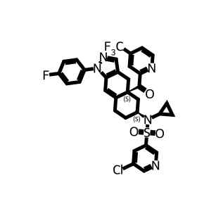 O=C(c1cc(C(F)(F)F)ccn1)[C@]12Cc3cnn(-c4ccc(F)cc4)c3C=C1CC[C@H](N(C1CC1)S(=O)(=O)c1cncc(Cl)c1)C2